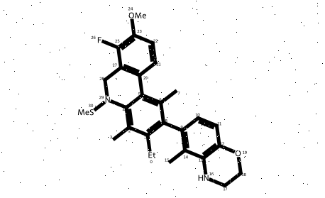 CCc1c(C)c2c(c(C)c1-c1ccc3c(c1C)NCCO3)-c1ccc(OC)c(F)c1CN2SC